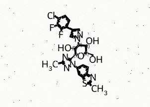 Cc1nc([C@@H]2O[C@H](CO)[C@H](O)[C@H](n3cc(-c4ccc(Cl)c(F)c4F)cn3)[C@H]2O)n(-c2ccc3nc(C)sc3c2)n1